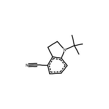 CC(C)(C)N1CCc2c(C#N)cccc21